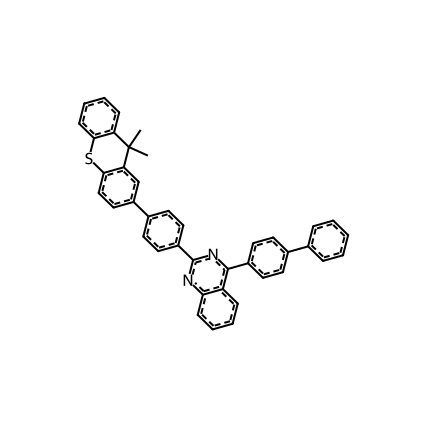 CC1(C)c2ccccc2Sc2ccc(-c3ccc(-c4nc(-c5ccc(-c6ccccc6)cc5)c5ccccc5n4)cc3)cc21